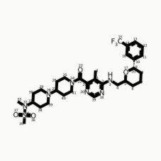 Cc1c(NCC2CCC[C@@H](c3cccc(C(F)(F)F)c3)O2)ncnc1C(=O)N1CCC(N2CCC(N(C)S(C)(=O)=O)CC2)CC1